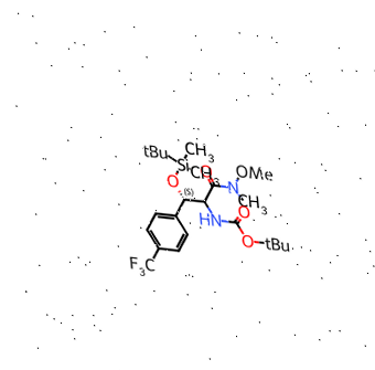 CON(C)C(=O)C(NC(=O)OC(C)(C)C)[C@@H](O[Si](C)(C)C(C)(C)C)c1ccc(C(F)(F)F)cc1